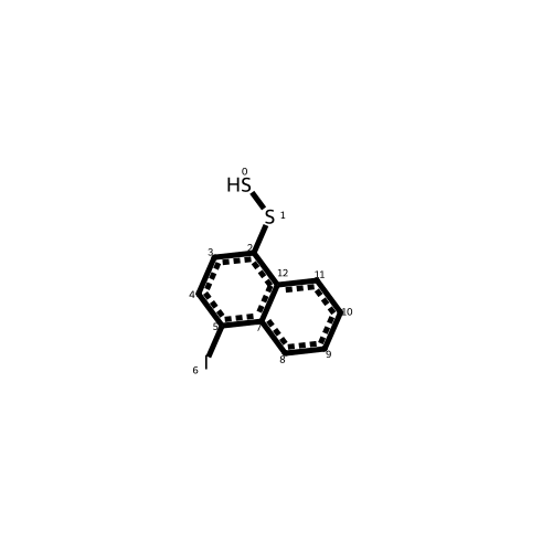 SSc1ccc(I)c2ccccc12